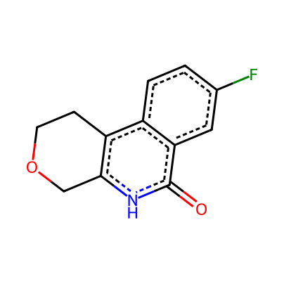 O=c1[nH]c2c(c3ccc(F)cc13)CCOC2